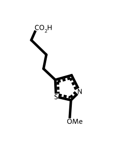 COc1ncc(CCCC(=O)O)s1